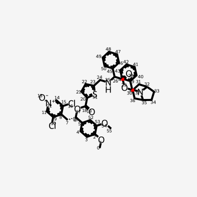 COc1ccc([C@H](Cc2c(Cl)c[n+]([O-])cc2Cl)OC(=O)c2ccc(CNC(C(=O)OC3CC4CCC(C3)N4Cc3ccccc3)c3ccccc3)s2)cc1OC